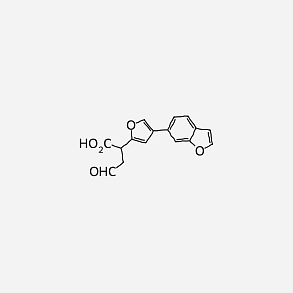 O=CCC(C(=O)O)c1cc(-c2ccc3ccoc3c2)co1